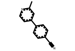 Cc1cc(-c2ccc(C#N)cc2)ccn1